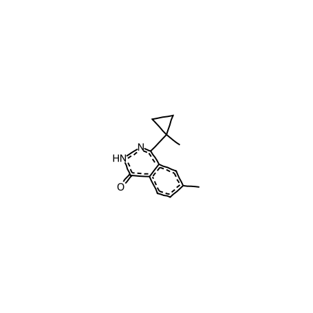 Cc1ccc2c(=O)[nH]nc(C3(C)CC3)c2c1